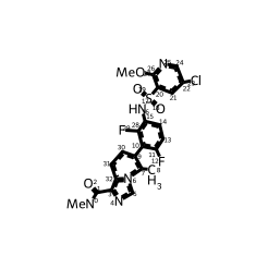 CNC(=O)c1ncn2c(C)c(-c3c(F)ccc(NS(=O)(=O)c4cc(Cl)cnc4OC)c3F)ccc12